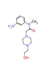 CN(C(=O)CN1CCN(CCO)CC1)c1cccc(N)c1